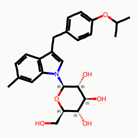 Cc1ccc2c(Cc3ccc(OC(C)C)cc3)cn([C@@H]3O[C@H](CO)[C@@H](O)[C@H](O)[C@H]3O)c2c1